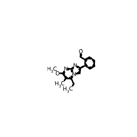 CCc1c(C)c(OC)nc2nc(-c3ccccc3C=O)cn12